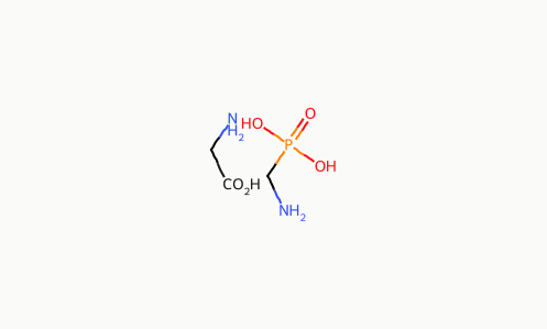 NCC(=O)O.NCP(=O)(O)O